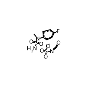 CN(c1ccc(F)cc1)S(N)(=O)=O.O=C=NS(=O)(=O)Cl